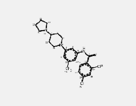 C=C(Nc1cc(N2CCC(N3CCCC3)CC2)cc(C(F)(F)F)c1)c1ccc(Cl)cc1Cl